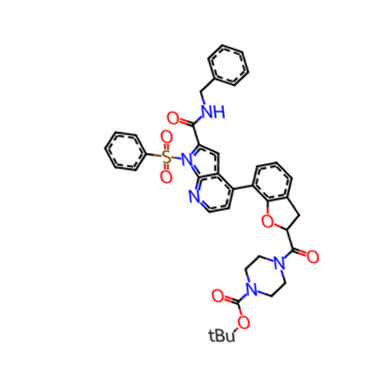 CC(C)(C)OC(=O)N1CCN(C(=O)C2Cc3cccc(-c4ccnc5c4cc(C(=O)NCc4ccccc4)n5S(=O)(=O)c4ccccc4)c3O2)CC1